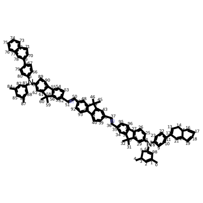 CC1=CC(C)CC(N(c2ccc(C3=CCC4C=CC=CC4=C3)cc2)c2ccc3c(c2)C(C)(C)c2cc(/C=C/c4ccc5c(c4)C(C)(C)c4cc(/C=C/c6ccc7c(c6)C(C)(C)c6cc(N(c8ccc(-c9ccc%10ccccc%10c9)cc8)c8cc(C)cc(C)c8)ccc6-7)ccc4-5)ccc2-3)=C1